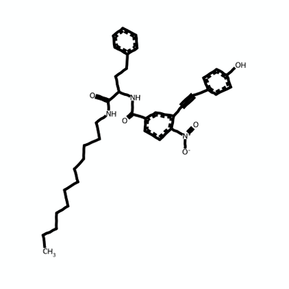 CCCCCCCCCCCCNC(=O)C(CCc1ccccc1)NC(=O)c1ccc([N+](=O)[O-])c(C#Cc2ccc(O)cc2)c1